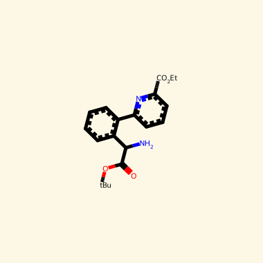 CCOC(=O)c1cccc(-c2ccccc2C(N)C(=O)OC(C)(C)C)n1